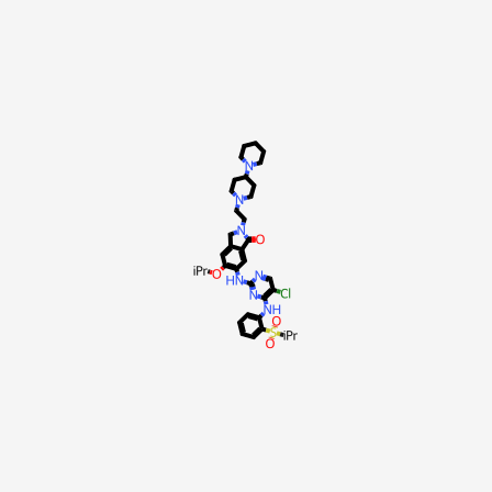 CC(C)Oc1cc2c(cc1Nc1ncc(Cl)c(Nc3ccccc3S(=O)(=O)C(C)C)n1)C(=O)N(CCN1CCC(N3CCCCC3)CC1)C2